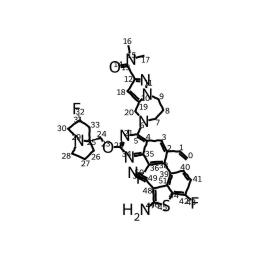 C=Cc1cc2c(N3CCCn4nc(C(=O)N(C)C)cc4C3)nc(OC[C@@]34CCCN3C[C@H](F)C4)nc2c(F)c1-c1ccc(F)c2sc(N)c(C#N)c12